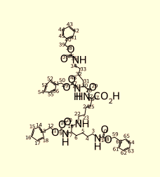 O=C(NCCCCC(NC(=O)OCc1ccccc1)C(=O)NCCCC[C@H](NC(=O)C(CCCCNC(=O)OCc1ccccc1)NC(=O)OCc1ccccc1)C(=O)O)OCc1ccccc1